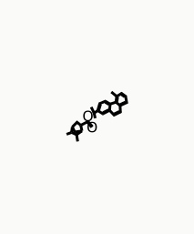 Cc1cccc2ccc3cc(C(C)(C)OC(=O)C4CC5CC4C(C)C5C)ccc3c12